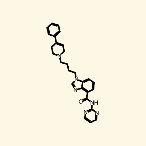 O=C(Nc1ncccn1)c1cccc2c1ncn2CCCCN1CC=C(c2ccccc2)CC1